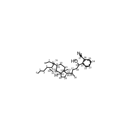 CCCCC[C@@](C)(CC)[C@H]1CC[C@]2(C)[C@@H]([C@H](C)CCC(O)c3ccccc3C#N)CC[C@H]2[C@@H]1CC